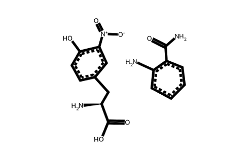 NC(=O)c1ccccc1N.N[C@@H](Cc1ccc(O)c([N+](=O)[O-])c1)C(=O)O